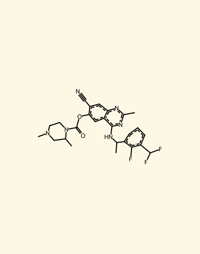 Cc1nc(NC(C)c2cccc(C(F)F)c2F)c2cc(OC(=O)N3CCN(C)CC3C)c(C#N)cc2n1